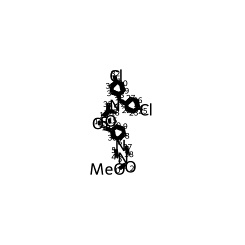 COC(=O)N1CCN(c2cccc(CS(=O)(=O)C=C3CN(C(c4ccc(Cl)cc4)c4ccc(Cl)cc4)C3)c2)CC1